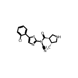 C[C@H]1CNC[C@@H]1C(=O)N(C#N)c1ncc(-c2ccccc2Cl)s1